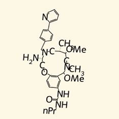 CCCNC(=O)Nc1ccc2c(c1)C(OC)N(C)C[C@H](OC)[C@@H](C)CN(Cc1ccc(-c3ccccn3)cc1)[C@@H](N)CO2